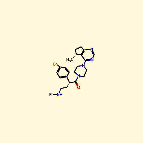 CC(C)NCC[C@@H](C(=O)N1CCN(c2ncnc3c2[C@H](C)CC3)CC1)c1ccc(Br)cc1